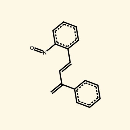 C=C(/C=C/c1ccccc1N=O)c1ccccc1